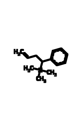 C=CCC(c1ccccc1)[Si](C)(C)C